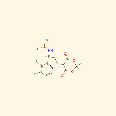 CC1(C)OC(=O)C(CC[C@](C)(N[S+]([O-])C(C)(C)C)c2cccc(F)c2F)C(=O)O1